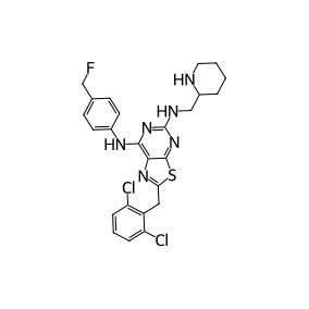 FCc1ccc(Nc2nc(NCC3CCCCN3)nc3sc(Cc4c(Cl)cccc4Cl)nc23)cc1